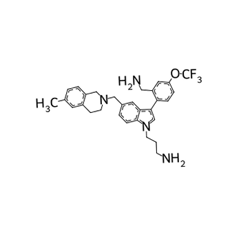 Cc1ccc2c(c1)CCN(Cc1ccc3c(c1)c(-c1ccc(OC(F)(F)F)cc1CN)cn3CCCN)C2